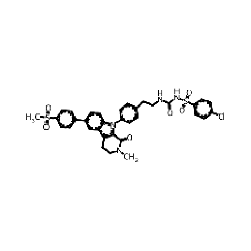 CN1CCc2c(n(-c3ccc(CCNC(=O)NS(=O)(=O)c4ccc(Cl)cc4)cc3)c3ccc(-c4ccc(S(C)(=O)=O)cc4)cc23)C1=O